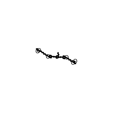 C=CC(=O)OCCCCCCCCOc1ccc(C#Cc2ccc(C#Cc3ccc(OCCCCCCOC(=O)C=C)cc3)c(CCC)c2)cc1